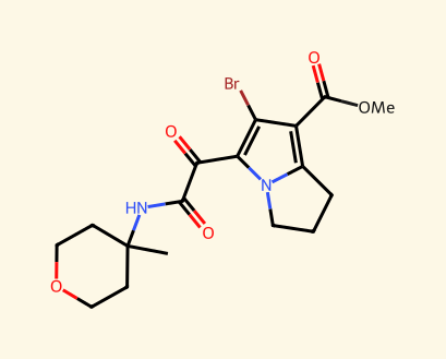 COC(=O)c1c(Br)c(C(=O)C(=O)NC2(C)CCOCC2)n2c1CCC2